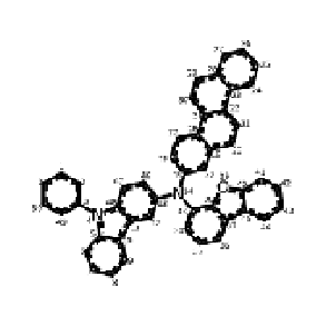 c1ccc(-n2c3ccccc3c3cc(N(c4ccc5c(ccc6c7ccccc7ccc56)c4)c4cccc5c4oc4ccccc45)ccc32)cc1